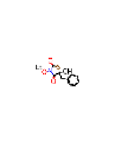 CCON1C(=O)SC(C)(Cc2ccccc2)C1=O